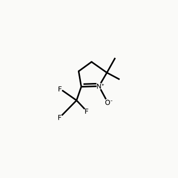 CC1(C)CCC(C(F)(F)F)=[N+]1[O-]